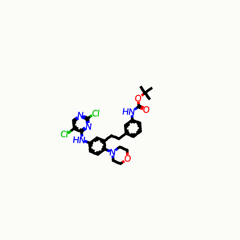 CC(C)(C)OC(=O)Nc1cccc(CCc2cc(Nc3nc(Cl)ncc3Cl)ccc2N2CCOCC2)c1